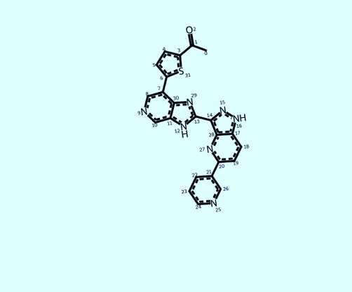 CC(=O)c1ccc(-c2cncc3[nH]c(-c4n[nH]c5ccc(-c6cccnc6)nc45)nc23)s1